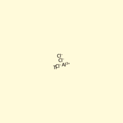 [Al+3].[Cl-].[Cl-].[Cl-].[Ti]